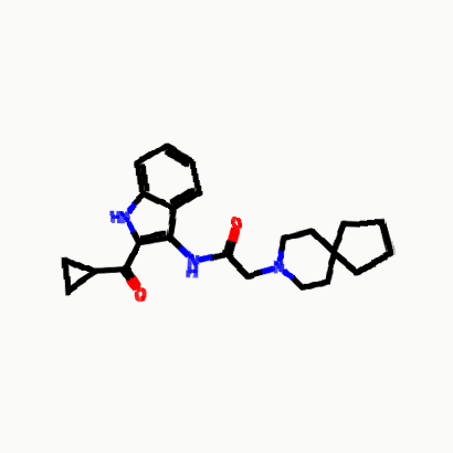 O=C(CN1CCC2(CCCC2)CC1)Nc1c(C(=O)C2CC2)[nH]c2ccccc12